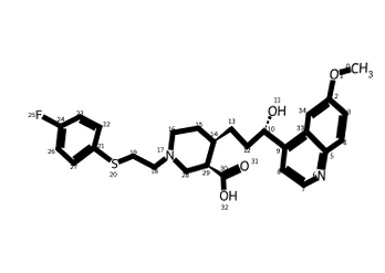 COc1ccc2nccc([C@@H](O)CC[C@@H]3CCN(CCSc4ccc(F)cc4)C[C@@H]3C(=O)O)c2c1